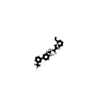 CCc1cccc2nc(C(=O)Nc3nc4cc(-c5cccc(C(F)(F)F)c5)ccc4[nH]3)cn12